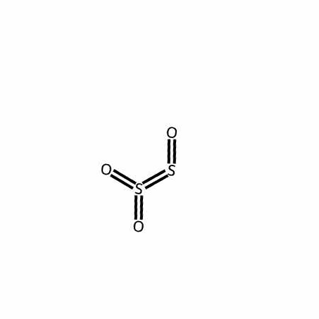 O=S=S(=O)=O